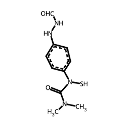 CN(C)C(=O)N(S)c1ccc(NNC=O)cc1